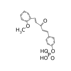 COc1ccccc1/C=C/C(=O)/C=C/c1ccc(OP(=O)(O)O)cc1